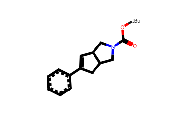 CC(C)(C)OC(=O)N1CC2C=C(c3ccccc3)CC2C1